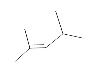 [CH2]C(C)C=C(C)C